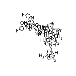 CC(C)C[C@H](NC(=O)[C@H](CC(C)C)NC(=O)C(C)(C)NC(=O)[C@H](CC(C)C)NC(=O)[C@H](Cc1nc2ccc(F)cc2s1)N(C=O)[C@@H]1CCCN1C(=O)c1ccc(F)cc1)C(=O)NC(C)(C)C(=O)NC(C)(C)C(=O)NCCC(=O)NC1(CN(C)C)CCC1